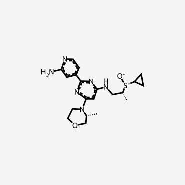 C[C@@H]1COCCN1c1cc(NC[C@@H](C)[S+]([O-])C2CC2)nc(-c2ccnc(N)c2)n1